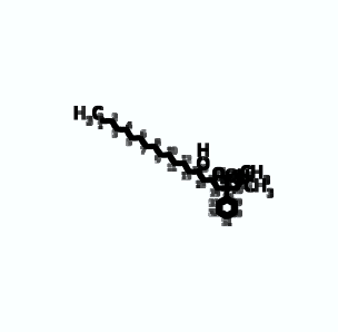 CCCCCCCCCCCCCCC(O)CCCC(CC(C)(C)C)(C(=O)O)c1ccccc1